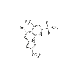 O=C(O)c1cn2c(cc(Br)c3c(C(F)(F)F)cc(C(F)(F)C(F)(F)F)nc32)n1